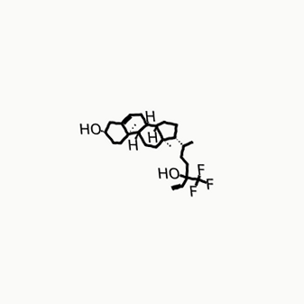 C=CC(O)(CCC(C)[C@H]1CC[C@H]2[C@@H]3CC=C4C[C@@H](O)CC[C@]4(C)[C@H]3CC[C@]12C)C(F)(F)F